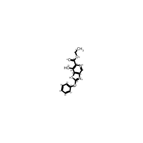 CCOC(=O)c1ncc2nc(Oc3ccccc3)sc2c1O